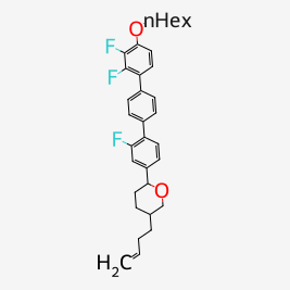 C=CCCC1CCC(c2ccc(-c3ccc(-c4ccc(OCCCCCC)c(F)c4F)cc3)c(F)c2)OC1